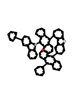 c1ccc(-c2ccc3c(c2)c2ccccc2n3-c2c3ccccc3c(-c3cccc4oc5ccc(-c6c7ccccc7c(-c7ccccc7)c7ccccc67)cc5c34)c3ccccc23)cc1